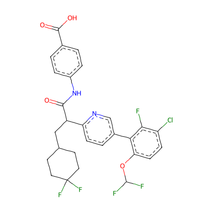 O=C(O)c1ccc(NC(=O)C(CC2CCC(F)(F)CC2)c2ccc(-c3c(OC(F)F)ccc(Cl)c3F)cn2)cc1